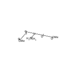 COC(=O)CCCCCCCCSC(=O)CCCCCCCN(CCCCCCCC(=O)SCCCCCCCCC(=O)OC)CCCCN(C)C